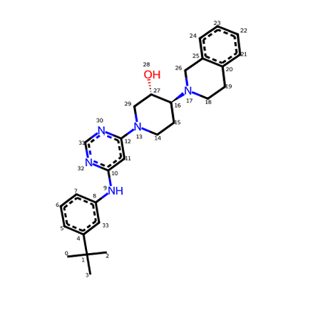 CC(C)(C)c1cccc(Nc2cc(N3CC[C@H](N4CCc5ccccc5C4)[C@@H](O)C3)ncn2)c1